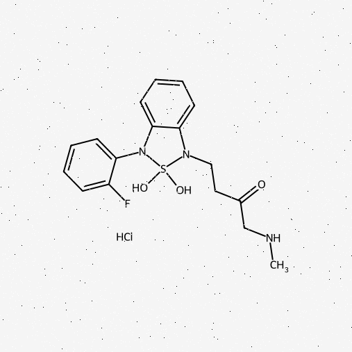 CNCC(=O)CCN1c2ccccc2N(c2ccccc2F)S1(O)O.Cl